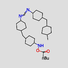 CCCCC(=O)ONC1CCC(CC2CCC(N=C=NC3CCC(CC4CCC(C)CC4)CC3)CC2)CC1